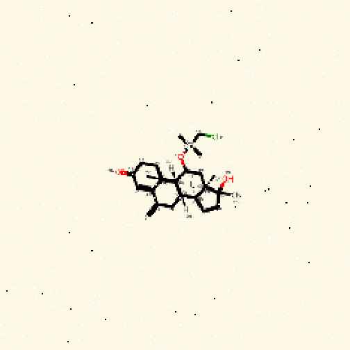 C=C1C[C@@H]2[C@@H](C(O[Si](C)(C)CCl)C[C@@]3(C)[C@H]2CCC3(O)C#N)[C@@]2(C)CCC(=O)C=C12